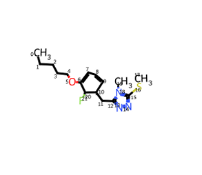 CCCCCOC1=CC=C[C](Cc2nnc(SC)n2C)C1F